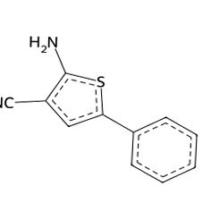 N#Cc1cc(-c2ccccc2)sc1N